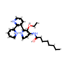 CCCCCCCC(=O)Nc1ccnc(-c2cccnc2-c2ccccn2)c1OCC